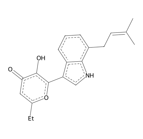 CCc1cc(=O)c(O)c(-c2c[nH]c3c(CC=C(C)C)cccc23)o1